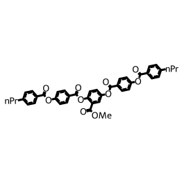 CCCc1ccc(C(=O)Oc2ccc(C(=O)Oc3ccc(OC(=O)c4ccc(OC(=O)c5ccc(CCC)cc5)cc4)c(C(=O)OC)c3)cc2)cc1